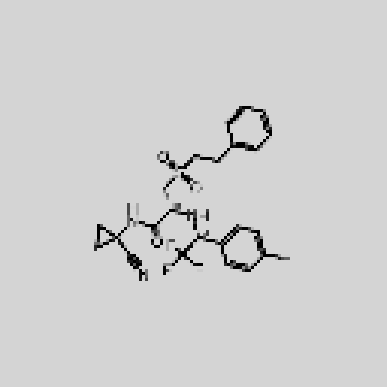 N#CC1(NC(=O)[C@H](CS(=O)(=O)CCc2ccccc2)N[C@@H](c2ccc(F)cc2)C(F)(F)F)CC1